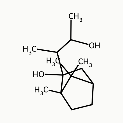 CC(O)C(C)C1(O)CC2CCC1(C)C2(C)C